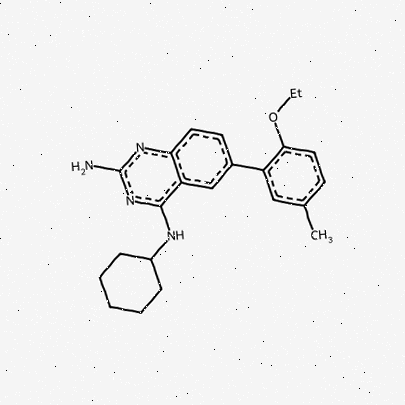 CCOc1ccc(C)cc1-c1ccc2nc(N)nc(NC3CCCCC3)c2c1